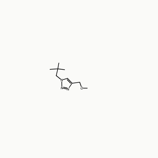 COCc1cn(CC(C)(C)C)nn1